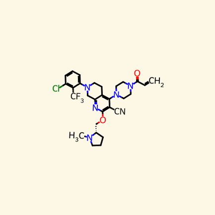 C=CC(=O)N1CCN(c2c(C#N)c(OC[C@@H]3CCCN3C)nc3c2CCN(c2cccc(Cl)c2C(F)(F)F)C3)CC1